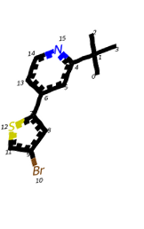 CC(C)(C)c1cc(-c2cc(Br)cs2)ccn1